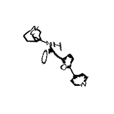 O=C(NC1CN2CCC1CC2)c1ccc(-c2ccncc2)o1